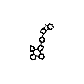 c1ccc2c(c1)-c1ccccc1-c1ccc(-c3ccc(-c4ccc5sc6ccncc6c5c4)cc3)cc1-c1ccccc1-2